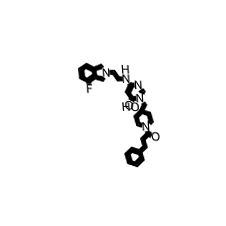 O=C(CCc1ccccc1)N1CCC(O)(Cn2cnc(NCCN3Cc4cccc(F)c4C3)cc2=O)CC1